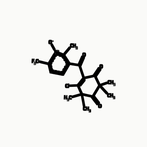 Cc1c(C(=O)C2=C(Cl)C(C)(C)C(=O)C(C)(C)C2=O)ccc(C(F)(F)F)[n+]1[O-]